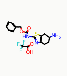 NC1CCc2nc(NC(=O)OCc3ccccc3)sc2C1.O=C(O)C(F)(F)F